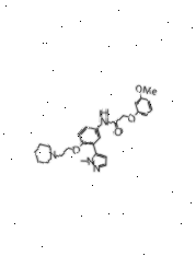 COc1cccc(OCC(=O)Nc2ccc(OCCN3CCCCC3)c(-c3ccnn3C)c2)c1